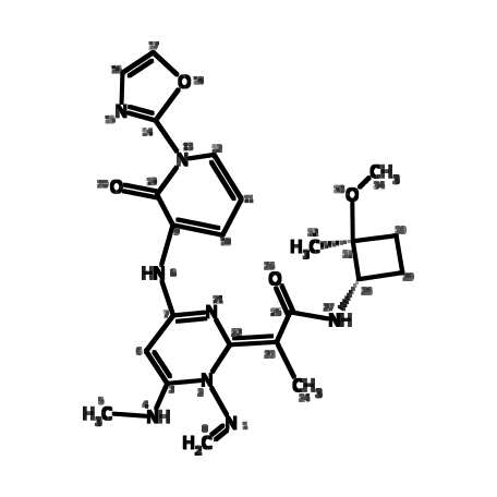 C=NN1C(NC)=CC(Nc2cccn(-c3ncco3)c2=O)=N/C1=C(/C)C(=O)N[C@H]1CC[C@]1(C)OC